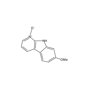 COc1ccc2c(c1)[nH]c1c2ccc[n+]1[O-]